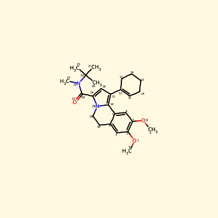 COc1cc2c(cc1OC)-c1c(C3=CCCCC3)cc(C(=O)N(C)C(C)(C)C)n1CC2